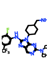 CN(C)c1ncc2nc(Nc3cc(C(F)(F)F)ccc3F)n(C3CCC(CN)CC3)c2n1